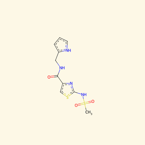 CS(=O)(=O)Nc1nc(C(=O)NCc2ccc[nH]2)cs1